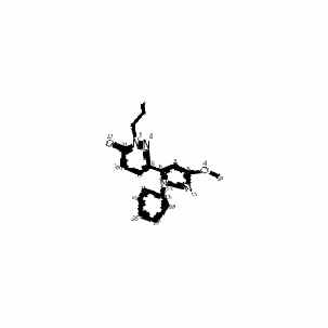 CCCn1nc(-c2cc(OC)nn2-c2ccccc2)ccc1=O